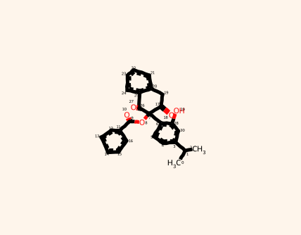 CC(C)c1ccc(C2(OC(=O)c3ccccc3)C(=O)Cc3ccccc3C2=O)c(O)c1